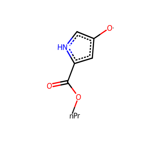 CCCOC(=O)c1cc([O])c[nH]1